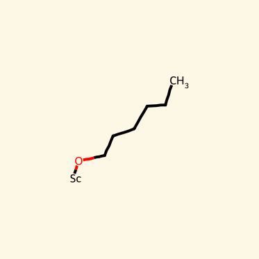 CCCCCC[O][Sc]